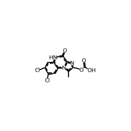 Cc1c(OC(=O)O)nc2c(=O)[nH]c3cc(Cl)c(Cl)cc3n12